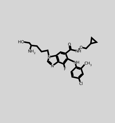 Cc1cc(Cl)ccc1Nc1c(C(=O)NOCC2CC2)cc2c(ncn2CCCC(N)CO)c1F